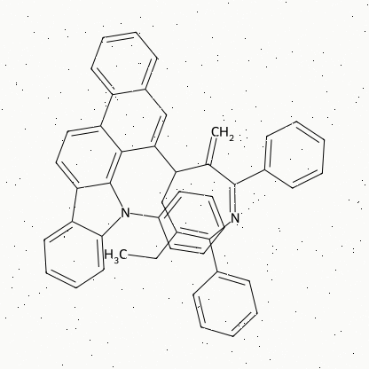 C=C1C(c2ccccc2)=NC(c2ccccc2)=C(CC)CC1c1cc2ccccc2c2ccc3c4ccccc4n(-c4ccccc4)c3c12